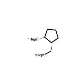 CCCCCCCC[C@H]1CCC[C@H]1CCCCCCC